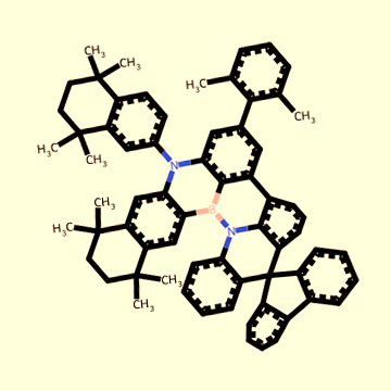 Cc1cccc(C)c1-c1cc2c3c(c1)N(c1ccc4c(c1)C(C)(C)CCC4(C)C)c1cc4c(cc1B3N1c3ccccc3C3(c5ccccc5-c5ccccc53)c3cccc-2c31)C(C)(C)CCC4(C)C